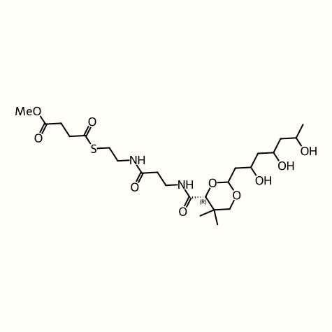 COC(=O)CCC(=O)SCCNC(=O)CCNC(=O)[C@@H]1OC(CC(O)CC(O)CC(C)O)OCC1(C)C